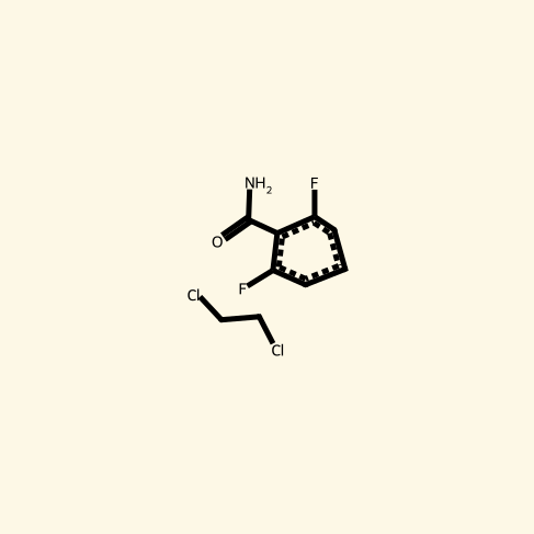 ClCCCl.NC(=O)c1c(F)cccc1F